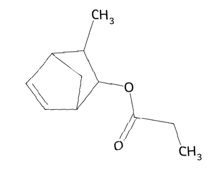 CCC(=O)OC1C2C=CC(C2)C1C